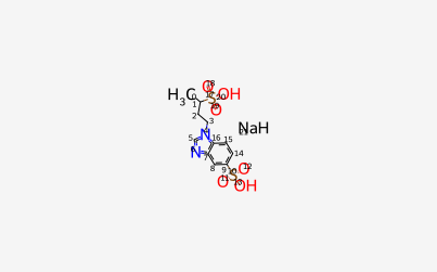 CC(CCn1cnc2cc(S(=O)(=O)O)ccc21)S(=O)(=O)O.[NaH]